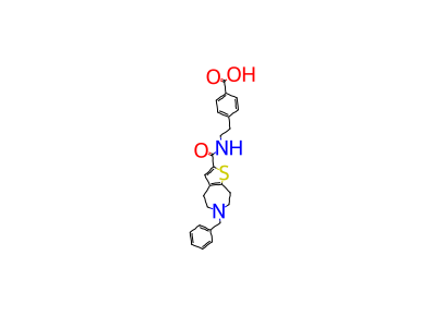 O=C(O)c1ccc(CCNC(=O)c2cc3c(s2)CCN(Cc2ccccc2)CC3)cc1